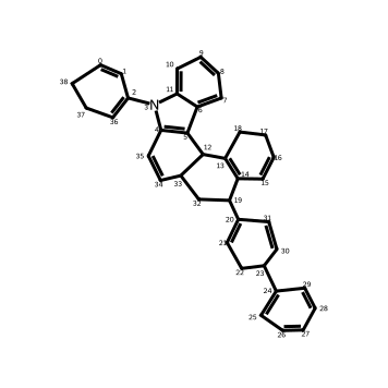 C1=CC(n2c3c(c4ccccc42)C2C4=C(C=CCC4)C(C4=CCC(c5ccccc5)C=C4)CC2C=C3)=CCC1